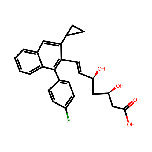 O=C(O)C[C@H](O)C[C@H](O)/C=C/c1c(C2CC2)cc2ccccc2c1-c1ccc(F)cc1